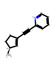 C[C@@H]1C=C(C#Cc2ccccn2)CC1